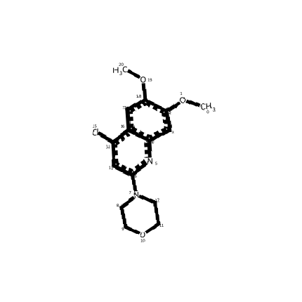 COc1cc2nc(N3CCOCC3)cc(Cl)c2cc1OC